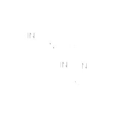 O=C(Nc1nccs1)N1CCNCC1